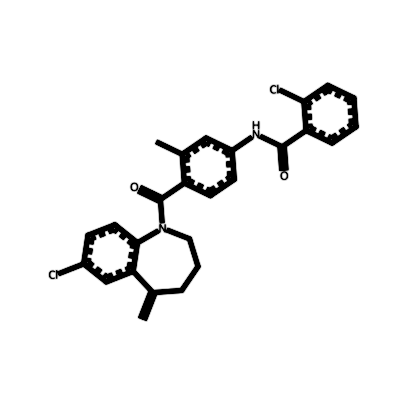 C=C1CCCN(C(=O)c2ccc(NC(=O)c3ccccc3Cl)cc2C)c2ccc(Cl)cc21